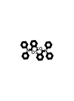 O=C(c1ccccc1SSc1ccccc1C(=O)N(c1ccccc1)c1ccccc1)N(c1ccccc1)c1ccccc1